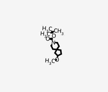 COC1CCC2(CCN(C(=O)OC(C)(C)C)CC2)C1